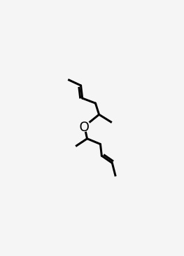 CC=CCC(C)OC(C)CC=CC